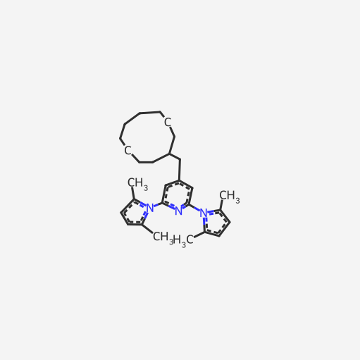 Cc1ccc(C)n1-c1cc(CC2CCCCCCCCC2)cc(-n2c(C)ccc2C)n1